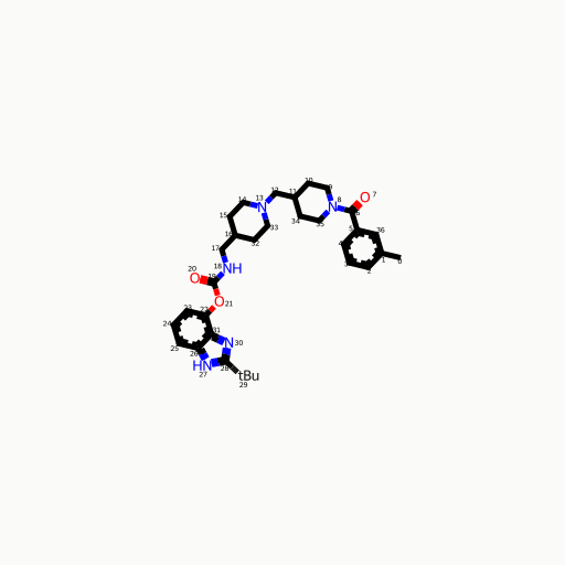 Cc1cccc(C(=O)N2CCC(CN3CCC(CNC(=O)Oc4cccc5[nH]c(C(C)(C)C)nc45)CC3)CC2)c1